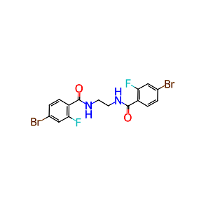 O=C(NCCNC(=O)c1ccc(Br)cc1F)c1ccc(Br)cc1F